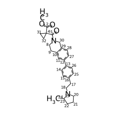 COC(=O)C1(C(=O)N2CCc3cc(-c4ccc(CCN5CCCC5C)cc4)ccc3C2)CC1